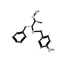 CCCO[C@@H](C)[C@@H](Cc1ccccc1)OCc1ccc(OC)cc1